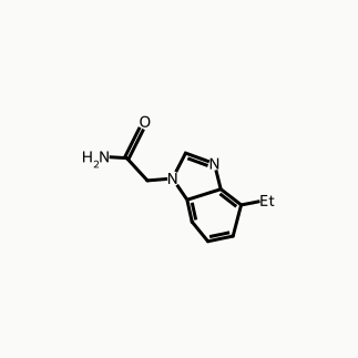 CCc1cccc2c1ncn2CC(N)=O